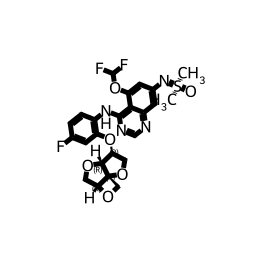 CS(C)(=O)=Nc1cc(OC(F)F)c2c(Nc3ccc(F)cc3O[C@@H]3CO[C@]45CO[C@@H]4CO[C@H]35)ncnc2c1